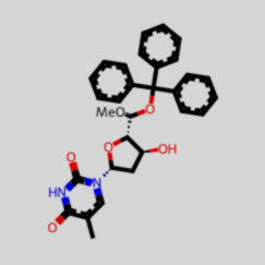 COC(OC(c1ccccc1)(c1ccccc1)c1ccccc1)[C@H]1O[C@@H](n2cc(C)c(=O)[nH]c2=O)C[C@@H]1O